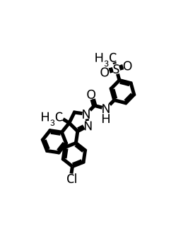 CC1(c2ccccc2)CN(C(=O)Nc2cccc(S(C)(=O)=O)c2)N=C1c1ccc(Cl)cc1